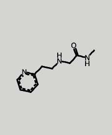 CNC(=O)CNCCc1ccccn1